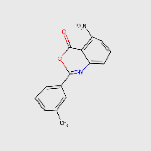 O=c1oc(-c2cccc(C(F)(F)F)c2)nc2cccc([N+](=O)[O-])c12